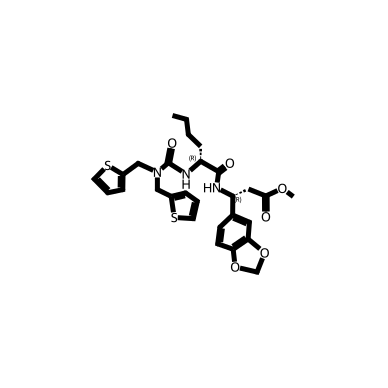 CCCC[C@@H](NC(=O)N(Cc1cccs1)Cc1cccs1)C(=O)N[C@H](CC(=O)OC)c1ccc2c(c1)OCO2